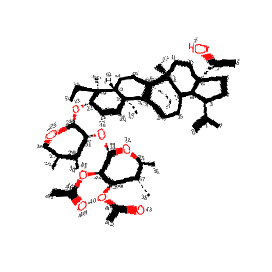 C=C(C)[C@@H]1CC[C@]2(C(=C)O)CC[C@]3(C)C(CCC4[C@@]5(C)CC[C@H](O[C@@H]6OC[C@H](C)[C@H](C)[C@H]6O[C@@H]6O[C@@H](C)[C@H](C)[C@@H](OC(C)=O)[C@H]6OC(C)=O)[C@@](C)(CC)[C@@H]5CC[C@]43C)C12